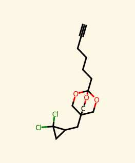 C#CCCCCC12OCC(CC3CC3(Cl)Cl)(CO1)CO2